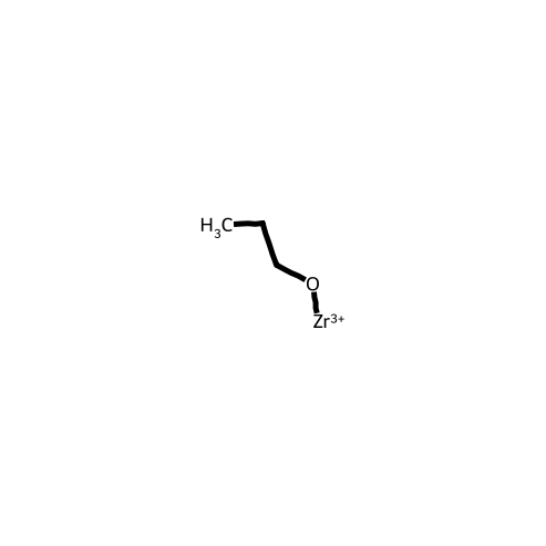 CCC[O][Zr+3]